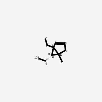 CCC12C=CCC1(C)[C@@H]2CI